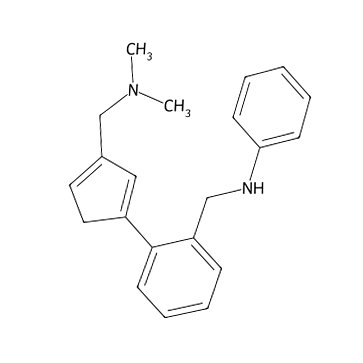 CN(C)CC1=CCC(c2ccccc2CNc2ccccc2)=C1